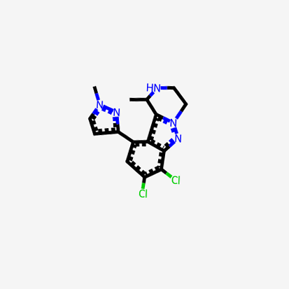 CC1NCCn2nc3c(Cl)c(Cl)cc(-c4ccn(C)n4)c3c21